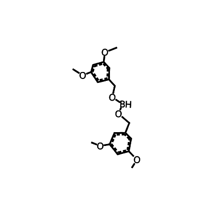 COc1cc(COBOCc2cc(OC)cc(OC)c2)cc(OC)c1